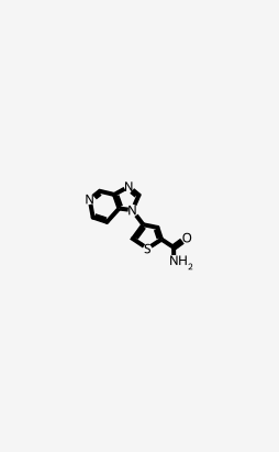 NC(=O)c1cc(-n2cnc3cnccc32)cs1